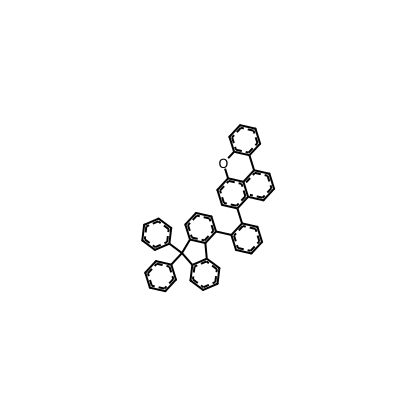 c1ccc(C2(c3ccccc3)c3ccccc3-c3c(-c4ccccc4-c4ccc5c6c(cccc46)-c4ccccc4O5)cccc32)cc1